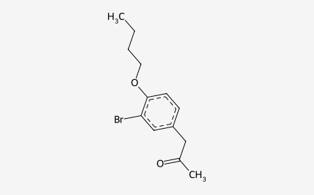 CCCCOc1ccc(CC(C)=O)cc1Br